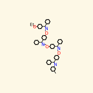 CCOc1ccc(/C(=N\COc2ccc(/C(=N\COc3ccc(/C(=N\COc4ccc(C(=Nc5cccc(C)c5)c5ccccc5)cc4)c4ccccc4)cc3)c3ccccc3)cc2)c2ccccc2)cc1